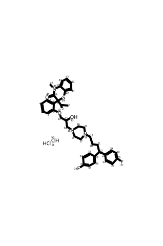 CC(C)C1(c2ccccc2OCC(O)CN2CCN(CCCC(c3ccc(F)cc3)c3ccc(F)cc3)CC2)Sc2ccccc2N(C)C1=O.Cl.Cl